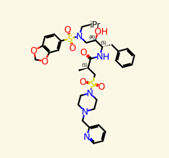 CC(C)CN(C[C@@H](O)[C@H](Cc1ccccc1)NC(=O)[C@H](C)CS(=O)(=O)N1CCN(Cc2ccccn2)CC1)S(=O)(=O)c1ccc2c(c1)OCO2